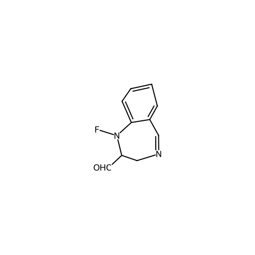 O=CC1CN=Cc2ccccc2N1F